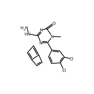 Cn1c(-c2ccc(Cl)c(Cl)c2)nc(NN)nc1=O.c1cc2ccc1-2